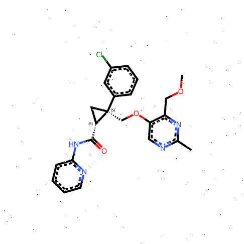 COCc1nc(C)ncc1OC[C@@]1(c2cccc(Cl)c2)C[C@H]1C(=O)Nc1ccccn1